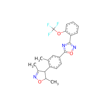 CC1=NOC(C)C1c1ccc(-c2nc(-c3ccccc3OC(F)(F)F)no2)cc1C